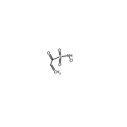 C=CC(=O)S(=O)(=O)NCl